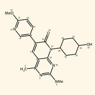 CNc1nc(C)c2cc(-c3ccc(OC)nc3)c(=O)n(C3CCC(O)CC3)c2n1